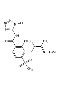 CON=C(C)N(C)Cc1c(S(C)(=O)=O)ccc(C(=O)Nc2nnnn2C)c1Cl